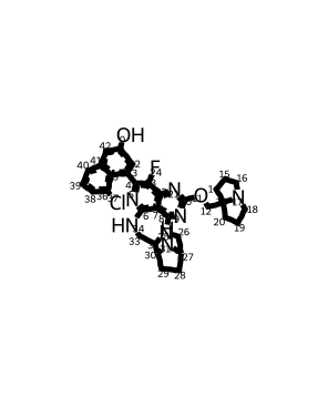 Oc1cc(-c2nc3c4c(nc(OCC56CCCN5CCC6)nc4c2F)N2CC4CCC(N4)C2CN3)c2c(Cl)cccc2c1